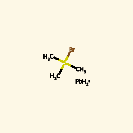 CS(C)(C)Br.[PbH2]